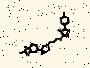 Cc1ccc(-c2nnc(SCCCN3CC4CC4(c4ccc5sc(C)nc5c4)C3)n2C)cn1